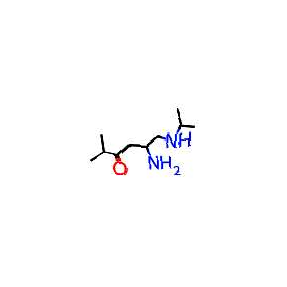 CC(C)NCC(N)CC(=O)C(C)C